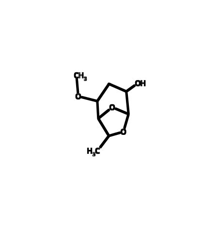 COC1CC(O)C2OC(C)C1O2